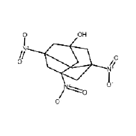 O=[N+]([O-])C12CC3(O)CC([N+](=O)[O-])(C1)CC([N+](=O)[O-])(C3)C2